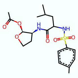 CC(=O)O[C@@H]1OCC[C@@H]1NC(=O)C(CC(C)C)NS(=O)(=O)c1ccc(C)cc1